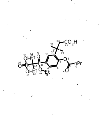 CCCC(=O)Oc1ccc(P(=O)(OCC)C(CC)(CC)P(=O)(O)O)cc1C(C)(C)CC(=O)O